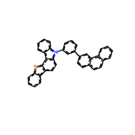 c1cc(-c2ccc3ccc4ccccc4c3c2)cc(-n2c3ccccc3c3c4sc5ccccc5c4ccc32)c1